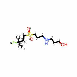 O=S(=O)(CCCNCCCO)CCC(F)(C(F)(F)F)C(F)(F)F